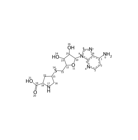 Nc1ccnc2c1ncn2C1OC(CSC2CNC(C(=O)O)C2)C(O)C1O